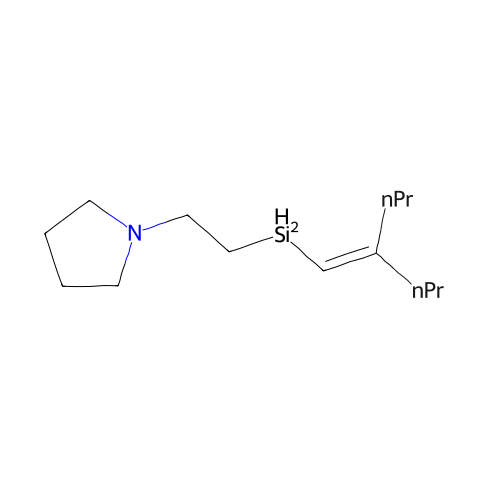 CCCC(=C[SiH2]CCN1CCCC1)CCC